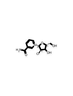 NC(=O)c1ccc[n+]([C@@H]2O[C@H](CO)C(O)[C@H]2Cl)c1